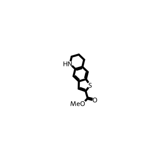 COC(=O)c1cc2cc3c(cc2s1)CCCN3